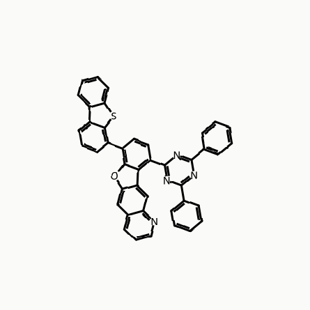 c1ccc(-c2nc(-c3ccccc3)nc(-c3ccc(-c4cccc5c4sc4ccccc45)c4oc5cc6cccnc6cc5c34)n2)cc1